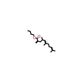 C=C(CC(C)/C=C(\C)CCC=C(C)C)C(=O)OCCCC